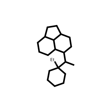 CCC1(C(C)C2CCC3CCC4CCCC2C43)CCCCC1